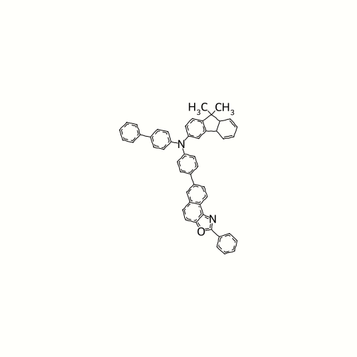 CC1(C)c2ccc(N(c3ccc(-c4ccccc4)cc3)c3ccc(-c4ccc5c(ccc6oc(-c7ccccc7)nc65)c4)cc3)cc2C2C=CC=CC21